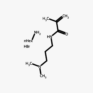 Br.C=C(C)C(=O)NCCCN(C)C.CCCCCCN